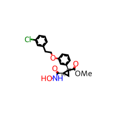 COC(=O)[C@]1(c2cccc(OCCc3cccc(Cl)c3)c2)C[C@H]1C(=O)NO